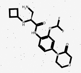 NC[C@H](NC1CCC1)C(=O)Nc1ccc(N2CCOCC2=O)cc1OC(F)F